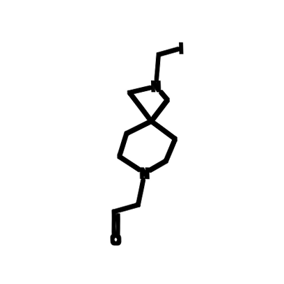 O=CCN1CCC2(CC1)CN(CI)C2